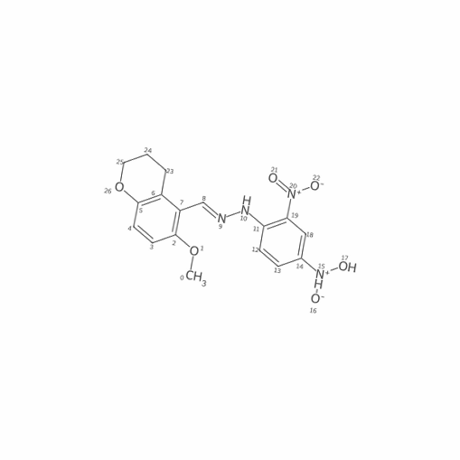 COc1ccc2c(c1/C=N/Nc1ccc([NH+]([O-])O)cc1[N+](=O)[O-])CCCO2